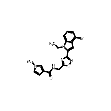 CC(C)(C)n1ccc(C(=O)NCc2nc(-c3cc4c(Br)cccc4n3CC(F)(F)F)no2)c1